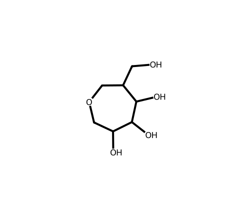 OCC1COCC(O)C(O)C1O